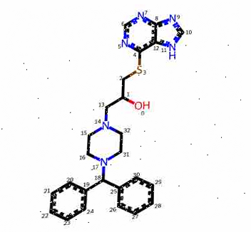 OC(CSc1ncnc2nc[nH]c12)CN1CCN(C(c2ccccc2)c2ccccc2)CC1